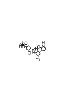 CC(C)(C)c1cc(-c2ccc[nH]c2=O)c2ncc(-c3ccc(NS(C)(=O)=O)cc3Cl)nc2c1